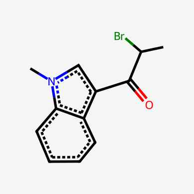 CC(Br)C(=O)c1cn(C)c2ccccc12